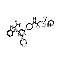 O=C(CNC(=O)[C@@H]1CCCN1)NC1CCN(c2cc(-n3c(C(F)F)nc4ccccc43)nc(N3CCOCC3)n2)CC1